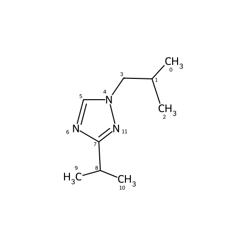 CC(C)Cn1cnc(C(C)C)n1